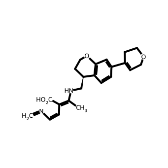 C=N/C=C\C(C(=O)O)=C(/C)NC[C@H]1CCOc2cc(C3=CCOCC3)ccc21